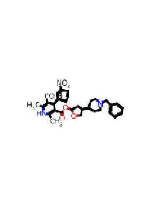 CC1=C(C(=O)O)C(c2cccc([N+](=O)[O-])c2)C(C(=O)OC2CC(C3CCN(Cc4ccccc4)CC3)CO2)=C(C)N1